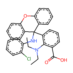 CCN(CC)c1c(C(=O)O)cccc1C1(Nc2ccccc2Cl)c2ccccc2Oc2ccccc21